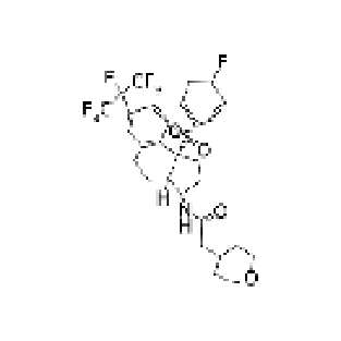 O=C(CC1CCOCC1)N[C@@H]1CC[C@@]2(S(=O)(=O)c3ccc(F)cc3)c3ccc(C(F)(C(F)(F)F)C(F)(F)F)cc3CC[C@@H]12